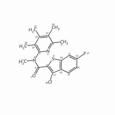 Cc1nc(N(C)C(=O)c2sc3cc(F)ccc3c2Cl)c(C)c(C)c1C